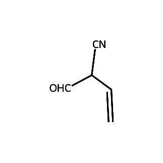 C=CC(C#N)C=O